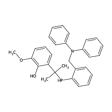 COc1cccc(C(C)(C)Pc2ccccc2CN(c2ccccc2)c2ccccc2)c1O